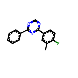 Cc1cc(-c2ncnc(-c3ccccc3)n2)ccc1F